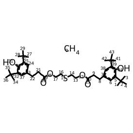 C.CC(C)(C)c1cc(CCC(=O)OCCSCCOC(=O)CCc2cc(C(C)(C)C)c(O)c(C(C)(C)C)c2)cc(C(C)(C)C)c1O